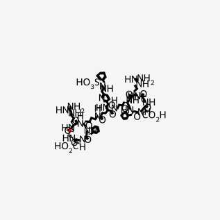 N=C(N)NCCC[C@@H]1NC(=O)CNC(=O)[C@@H](CC(=O)O)NC(=O)[C@@H](Cc2ccccc2)NC(=O)[C@@H](CCCCNC(=O)CCC(NC(=O)c2ccc(CNN=Cc3ccccc3S(=O)(=O)O)nc2)C(=O)NCCCC[C@H]2NC(=O)[C@H](CCCNC(=N)N)NC(=O)CNC(=O)[C@@H](CC(=O)O)NC(=O)[C@@H](Cc3ccccc3)NC2=O)NC1=O